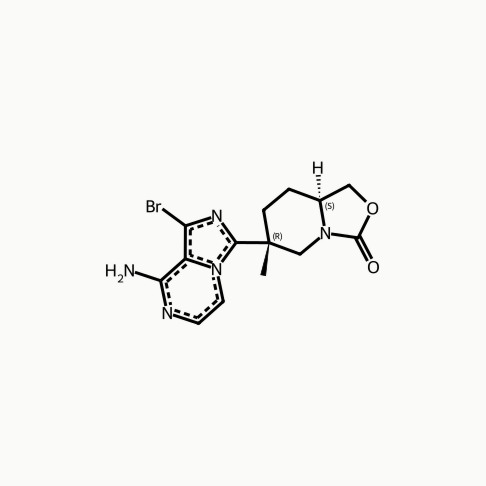 C[C@@]1(c2nc(Br)c3c(N)nccn23)CC[C@H]2COC(=O)N2C1